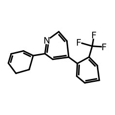 FC(F)(F)c1ccccc1-c1ccnc(C2=CC=CCC2)c1